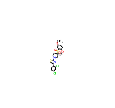 COc1ccc(OC)c(S(=O)(=O)C2CCN(c3nc(-c4ccc(Cl)cc4Cl)cs3)CC2)c1